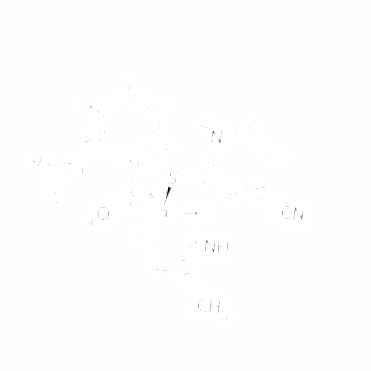 C[C@@H]1CC[C@](Sc2cc(C#N)ccn2)(C(=O)c2ccccc2C2CC2)CN1